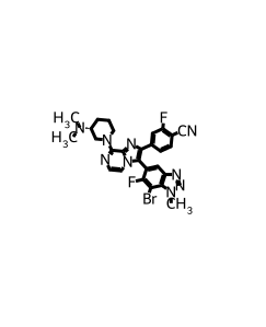 CN(C)[C@@H]1CCCN(c2nccn3c(-c4cc5nnn(C)c5c(Br)c4F)c(-c4ccc(C#N)c(F)c4)nc23)C1